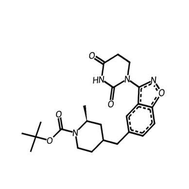 C[C@H]1CC(Cc2ccc3onc(N4CCC(=O)NC4=O)c3c2)CCN1C(=O)OC(C)(C)C